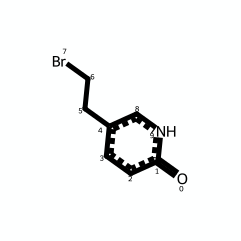 O=c1ccc(CCBr)c[nH]1